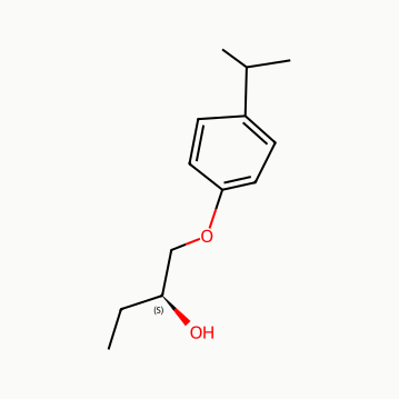 CC[C@H](O)COc1ccc(C(C)C)cc1